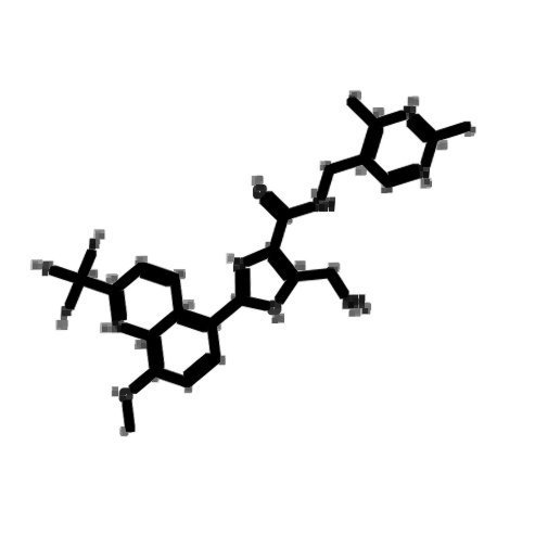 COc1ccc(-c2nc(C(=O)NCc3cnc(C)nc3C)c(CN)o2)c2ccc(C(F)(F)F)nc12